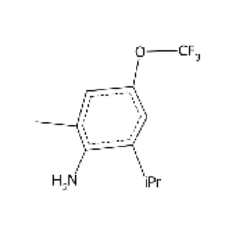 Cc1cc(OC(F)(F)F)cc(C(C)C)c1N